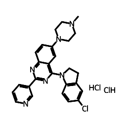 CN1CCN(c2ccc3nc(-c4cccnc4)nc(N4CCc5cc(Cl)ccc54)c3c2)CC1.Cl.Cl